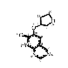 O=c1[nH]c2ncncc2cc1O[C@H]1CCOC1